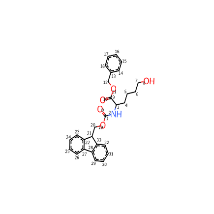 O=C(NC(CCCCO)C(=O)OCc1ccccc1)OCC1c2ccccc2-c2ccccc21